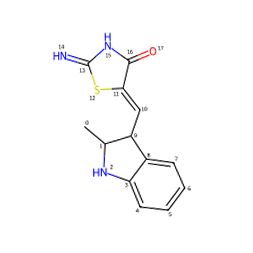 CC1Nc2ccccc2C1/C=C1\SC(=N)NC1=O